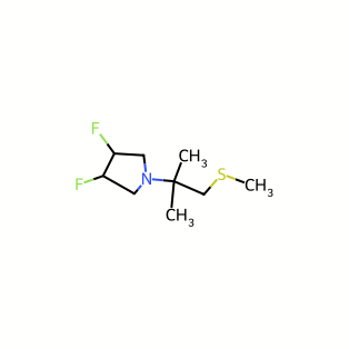 CSCC(C)(C)N1CC(F)C(F)C1